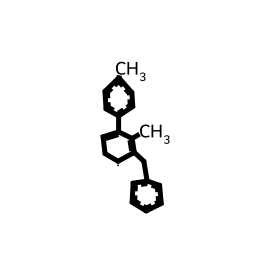 CC1=C(Cc2ccccc2)[CH]CC=C1c1ccc(C)cc1